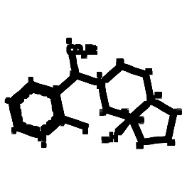 CCOC(=O)C(c1cccnc1C)N1CCN2CCC[C@@H]2C1